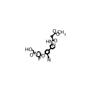 COC(=O)C1CC1C(=O)Nc1cc(-c2ccc(O[C@H]3CCN(C(=O)CO)C[C@H]3F)c(C#N)c2)ccn1